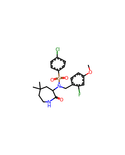 COc1ccc(CN(C2CC(C)(C)CCNC2=O)S(=O)(=O)c2ccc(Cl)cc2)c(F)c1